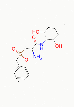 N[C@@H](CS(=O)(=O)Cc1ccccc1)C(=O)NC1C(O)CCCC1O